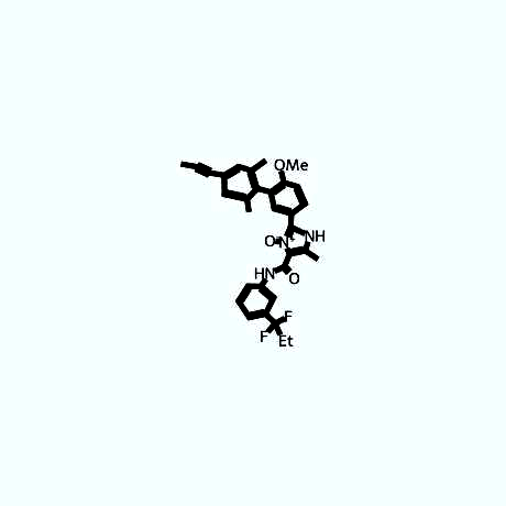 CC#Cc1cc(C)c(-c2cc(-c3[nH]c(C)c(C(=O)Nc4cccc(C(F)(F)CC)c4)[n+]3[O-])ccc2OC)c(C)c1